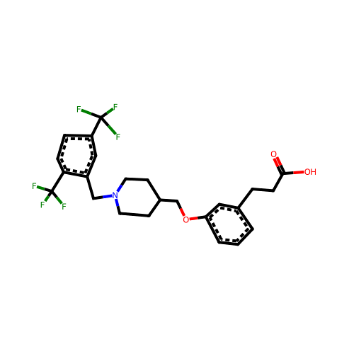 O=C(O)CCc1cccc(OCC2CCN(Cc3cc(C(F)(F)F)ccc3C(F)(F)F)CC2)c1